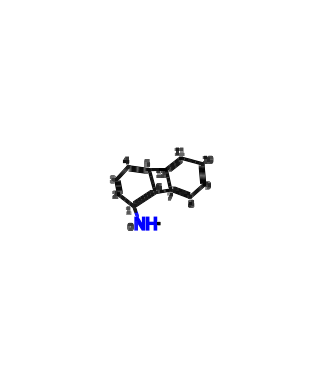 [NH]c1cccc2c1-c1ccccc1-2